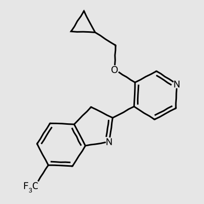 FC(F)(F)c1ccc2c(c1)N=C(c1ccncc1OCC1CC1)C2